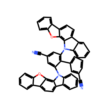 N#Cc1cccc(-c2c(-n3c4ccccc4c4ccc5c6ccccc6oc5c43)cc(C#N)cc2-n2c3ccccc3c3ccc4c5ccccc5oc4c32)c1